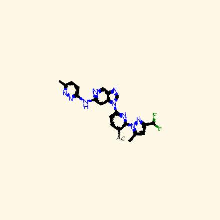 CC(=O)c1ccc(-n2cnc3cnc(Nc4ccc(C)nn4)cc32)nc1-n1nc(C(F)F)cc1C